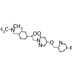 CN(C)Cc1ccc(C(=O)Cn2ncc(OCc3ccc(F)cn3)cc2=O)cc1